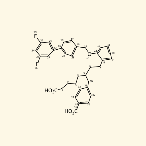 O=C(O)CCCCC(CCc1ccccc1OCc1ccc(-c2cc(F)cc(F)c2)cc1)Cc1ccc(C(=O)O)cc1